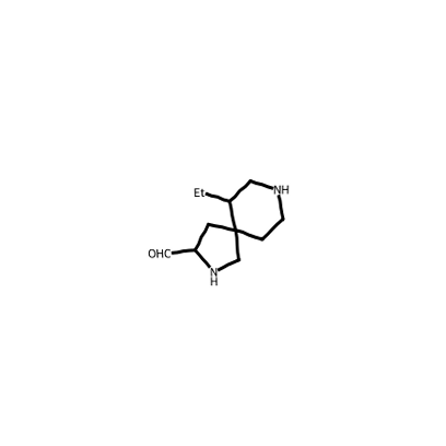 CCC1CNCCC12CNC(C=O)C2